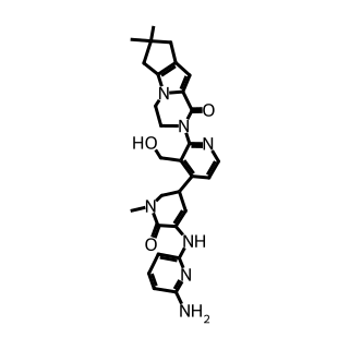 CN1CC(c2ccnc(N3CCn4c(cc5c4CC(C)(C)C5)C3=O)c2CO)C=C(Nc2cccc(N)n2)C1=O